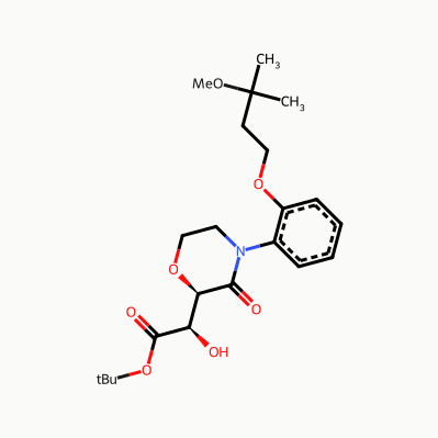 COC(C)(C)CCOc1ccccc1N1CCO[C@H]([C@@H](O)C(=O)OC(C)(C)C)C1=O